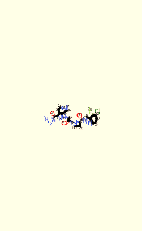 NC(=O)c1nn(CC(=O)N2CC[C@H]2C(=O)NCc2cccc(Cl)c2F)c2cnccc12